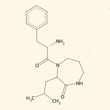 CC(C)CC1C(=O)NCCCN1C(=O)[C@@H](N)Cc1ccccc1